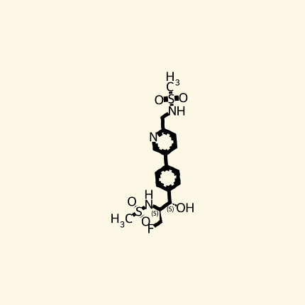 CS(=O)(=O)NCc1ccc(-c2ccc([C@H](O)[C@@H](CF)NS(C)(=O)=O)cc2)cn1